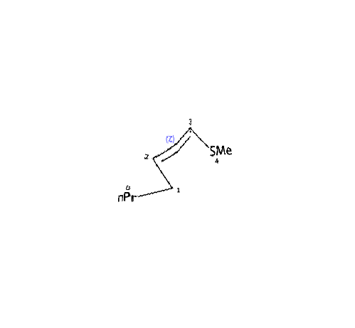 CCCC/C=[C]\SC